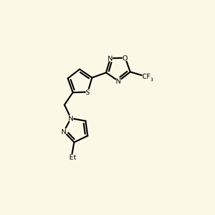 CCc1ccn(Cc2ccc(-c3noc(C(F)(F)F)n3)s2)n1